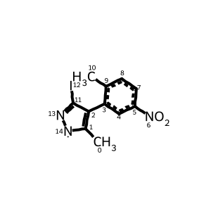 CC1=C(c2cc([N+](=O)[O-])ccc2C)C(I)=N[N]1